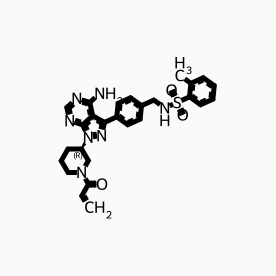 C=CC(=O)N1CCC[C@@H](n2nc(-c3ccc(CNS(=O)(=O)c4ccccc4C)cc3)c3c(N)ncnc32)C1